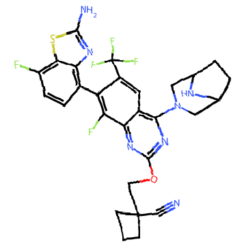 N#CC1(COc2nc(N3CC4CCC(C3)N4)c3cc(C(F)(F)F)c(-c4ccc(F)c5sc(N)nc45)c(F)c3n2)CCC1